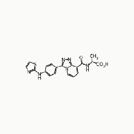 C[C@H](NC(=O)c1cccn2c(-c3ccc(Nc4nccs4)cc3)nnc12)C(=O)O